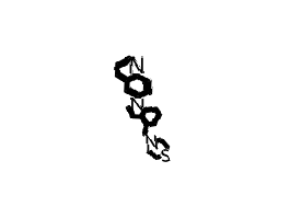 c1cnc2ccc(-n3ccc4c(CN5CCSCC5)cccc43)cc2c1